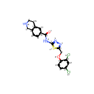 O=C(Nc1nnc(COc2ccc(Cl)cc2Cl)s1)c1ccc2c(c1)CCNC2